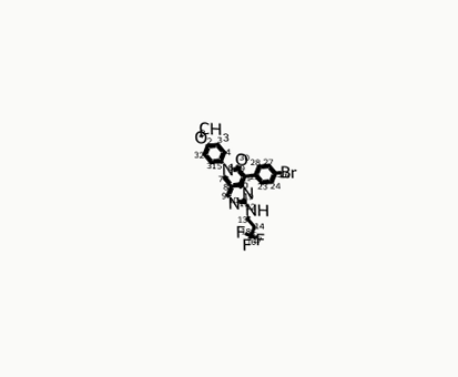 COc1ccc(-n2cc3cnc(NCCC(F)(F)F)nc3c(-c3ccc(Br)cc3)c2=O)cc1